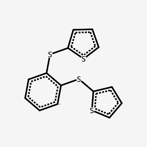 [c]1cccc(Sc2cccs2)c1Sc1cccs1